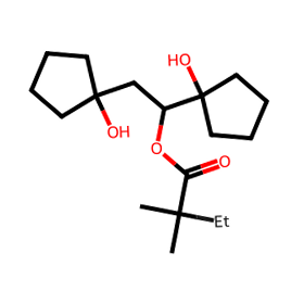 CCC(C)(C)C(=O)OC(CC1(O)CCCC1)C1(O)CCCC1